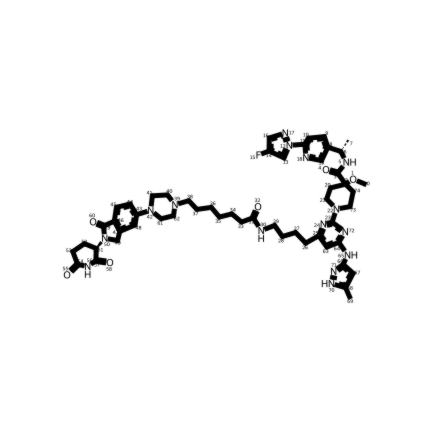 COC1(C(=O)N[C@@H](C)c2ccc(-n3cc(F)cn3)nc2)CCN(c2nc(CCCCNC(=O)CCCCCCN3CCN(c4ccc5c(c4)CN([C@@H]4CCC(=O)NC4=O)C5=O)CC3)cc(Nc3cc(C)[nH]n3)n2)CC1